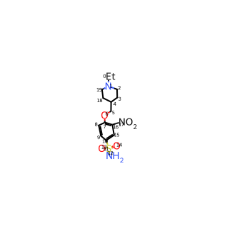 CCN1CCC(COc2ccc(S(N)(=O)=O)cc2[N+](=O)[O-])CC1